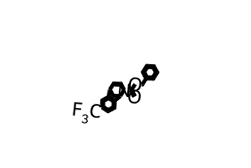 O=C(OCc1ccccc1)N1C=CC2CC1c1ccc(C(F)(F)F)cc12